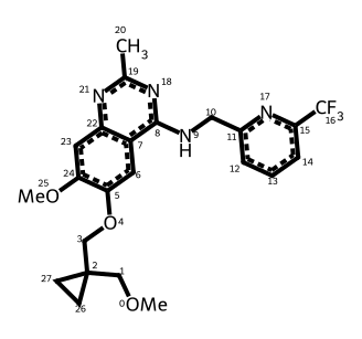 COCC1(COc2cc3c(NCc4cccc(C(F)(F)F)n4)nc(C)nc3cc2OC)CC1